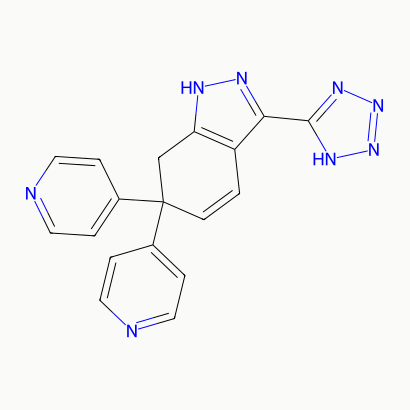 C1=CC(c2ccncc2)(c2ccncc2)Cc2[nH]nc(-c3nnn[nH]3)c21